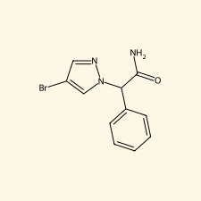 NC(=O)C(c1ccccc1)n1cc(Br)cn1